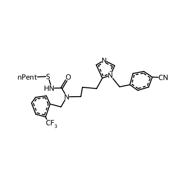 CCCCCSNC(=O)N(CCCc1cncn1Cc1ccc(C#N)cc1)Cc1ccccc1C(F)(F)F